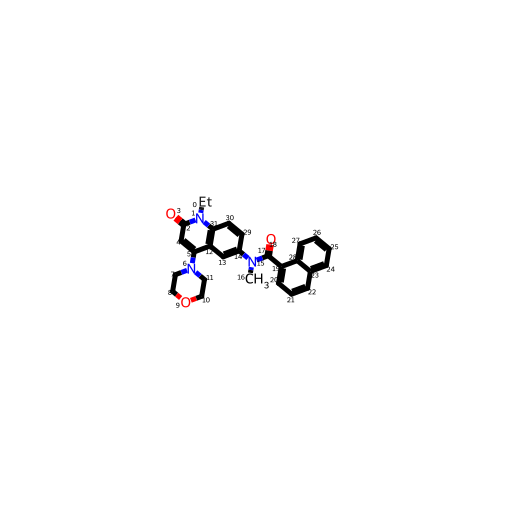 CCn1c(=O)cc(N2CCOCC2)c2cc(N(C)C(=O)c3cccc4ccccc34)ccc21